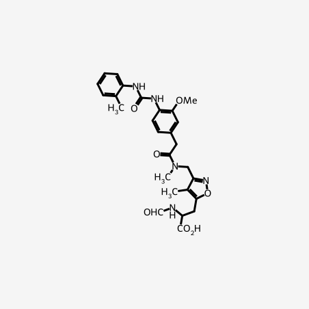 COc1cc(CC(=O)N(C)Cc2noc(CC(NC=O)C(=O)O)c2C)ccc1NC(=O)Nc1ccccc1C